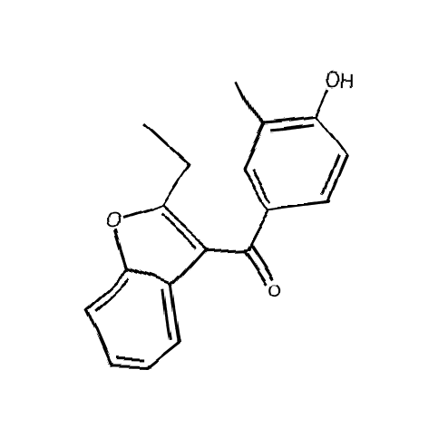 CCc1oc2ccccc2c1C(=O)c1ccc(O)c(C)c1